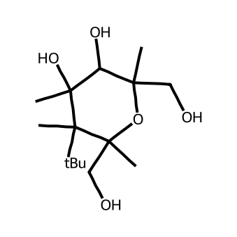 CC1(CO)OC(C)(CO)C(C)(C(C)(C)C)C(C)(O)C1O